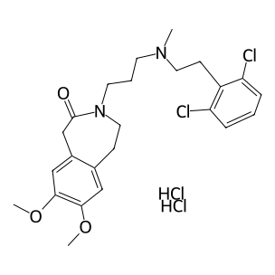 COc1cc2c(cc1OC)CC(=O)N(CCCN(C)CCc1c(Cl)cccc1Cl)CC2.Cl.Cl